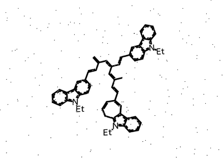 C=C(/C=C(/C=C/c1ccc2c(c1)c1ccccc1n2CC)\C=C(C)\C=C\C1=Cc2c(n(CC)c3ccccc23)CC=C1)/C=C/c1ccc2c(c1)c1ccccc1n2CC